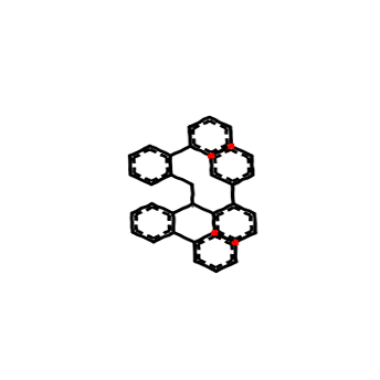 c1ccc(-c2ccccc2C[C](c2ccccc2-c2ccccc2)c2ccccc2-c2ccccc2)cc1